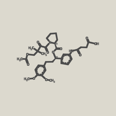 COc1ccc(CC[C@@H](OC(=O)[C@@H]2CCCCN2C(=O)C(=O)C(C)(C)COC(C)=O)c2cccc(NC(=O)CCC(=O)O)c2)cc1OC